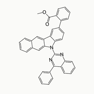 COC(=O)c1ccccc1-c1ccc2c(c1)c1cc3ccccc3cc1n2-c1nc(-c2ccccc2)c2ccccc2n1